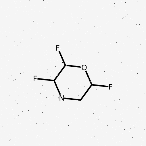 FC1C[N]C(F)C(F)O1